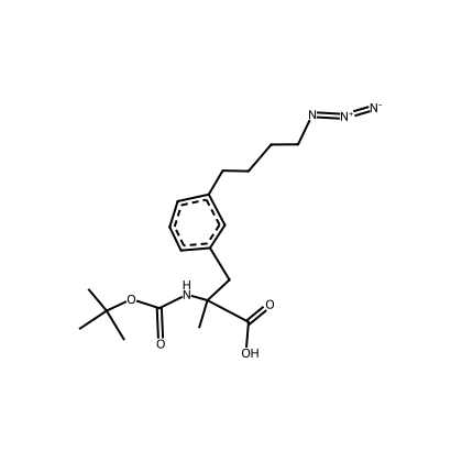 CC(C)(C)OC(=O)NC(C)(Cc1cccc(CCCCN=[N+]=[N-])c1)C(=O)O